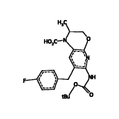 CC1COc2nc(NC(=O)OC(C)(C)C)c(Cc3ccc(F)cc3)cc2N1C(=O)O